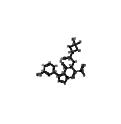 CC(=O)c1nn2ccc(-c3cccc(Cl)c3)c2c(=O)n1CC(=O)N1CC(C)(F)C1